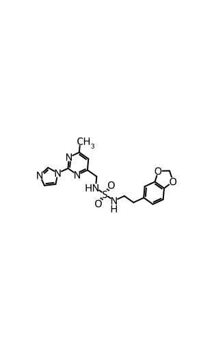 Cc1cc(CNS(=O)(=O)NCCc2ccc3c(c2)OCO3)nc(-n2ccnc2)n1